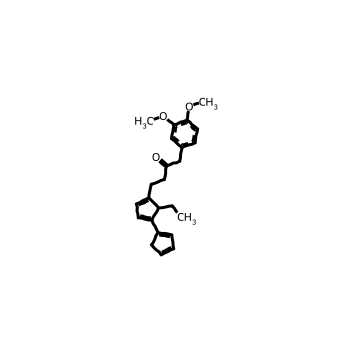 CCC1C(CCC(=O)Cc2ccc(OC)c(OC)c2)=CC=C1C1=CC=CC1